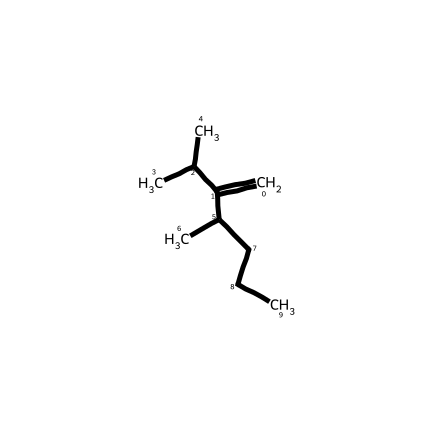 C=C(C(C)C)C(C)CCC